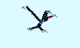 CCCCCCCCCCCCCCCCC/C=C/C(=N\c1ccc(CCCCC)c(CCCCC)c1)C(/CCCCCCCC)=N/c1ccc(CCCCC)c(CCCCC)c1.[Ni]